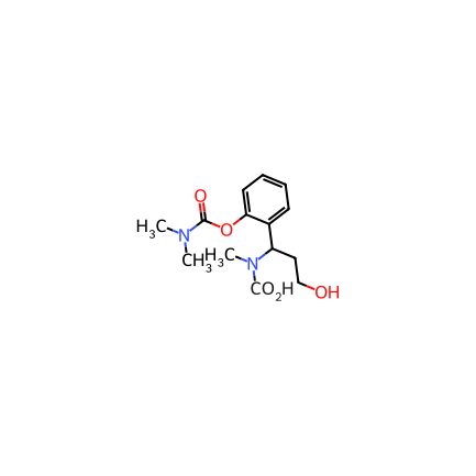 CN(C)C(=O)Oc1ccccc1C(CCO)N(C)C(=O)O